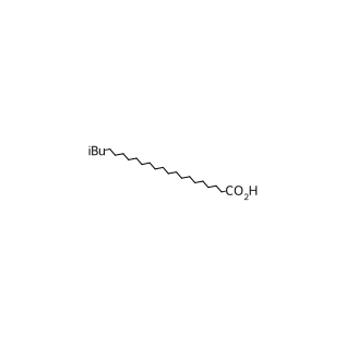 CCC(C)CCCCCCCCCCCCCCCCCCC(=O)O